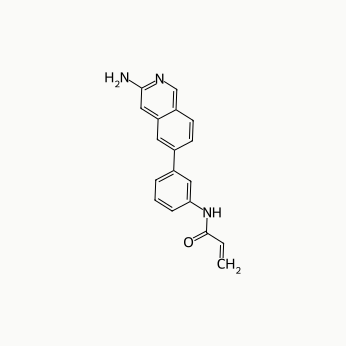 C=CC(=O)Nc1cccc(-c2ccc3cnc(N)cc3c2)c1